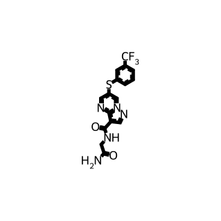 NC(=O)CNC(=O)c1cnn2cc(Sc3cccc(C(F)(F)F)c3)cnc12